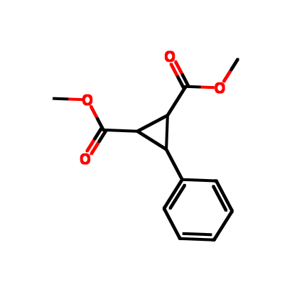 COC(=O)C1C(C(=O)OC)C1c1ccccc1